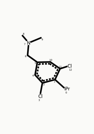 CC(C)c1c(Cl)cc(CN(C)C)cc1Cl